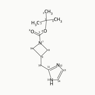 CC(C)(C)OC(=O)N1CC(Cc2ncc[nH]2)C1